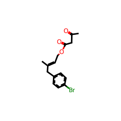 CC(=O)CC(=O)OCC=C(C)Cc1ccc(Br)cc1